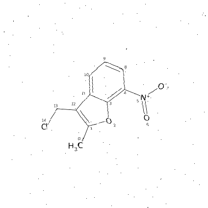 Cc1oc2c([N+](=O)[O-])cccc2c1CCl